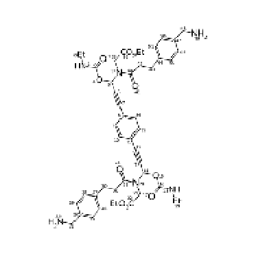 CCNC(=O)OC(C#Cc1ccc(C#CC(OC(=O)NCC)N(CC(=O)OCC)C(=O)CCc2ccc(CN)cc2)cc1)N(CC(=O)OCC)C(=O)CCc1ccc(CN)cc1